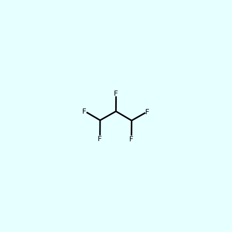 FC(F)C(F)C(F)F